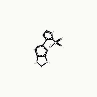 O=S(=O)(Cl)c1sccc1-c1ccc2c(c1)OCO2